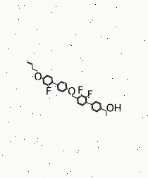 C=CCCOc1ccc(-c2ccc(OCc3ccc(-c4ccc(C(C)O)cc4)c(F)c3F)cc2)c(F)c1